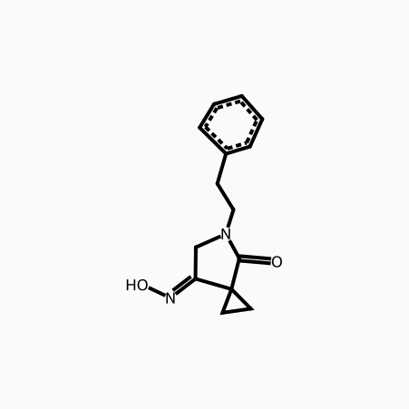 O=C1N(CCc2ccccc2)CC(=NO)C12CC2